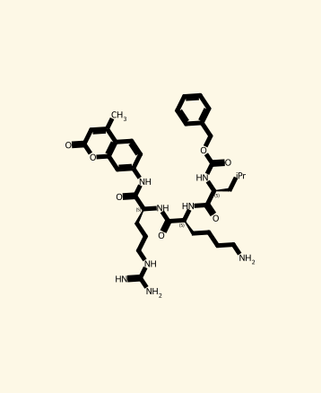 Cc1cc(=O)oc2cc(NC(=O)[C@H](CCCNC(=N)N)NC(=O)[C@H](CCCCN)NC(=O)[C@H](CC(C)C)NC(=O)OCc3ccccc3)ccc12